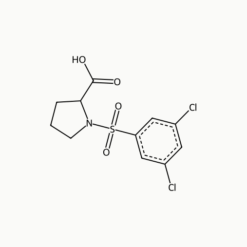 O=C(O)C1CCCN1S(=O)(=O)c1cc(Cl)cc(Cl)c1